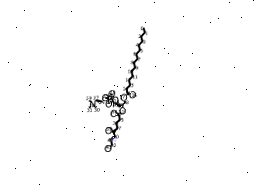 CCCCCCCCCCCCCCCC(=O)OC[C@H](COP(=O)(O)OCC[N+](C)(C)C)OC(=O)CCCC(=O)/C=C/C=O